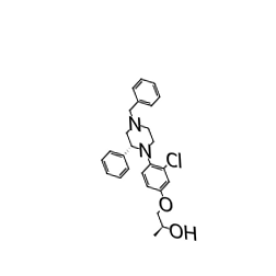 C[C@H](O)COc1ccc(N2CCN(Cc3ccccc3)C[C@H]2c2ccccc2)c(Cl)c1